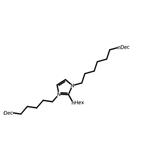 CCCCCCCCCCCCCCCCn1cc[n+](CCCCCCCCCCCCCCC)c1CCCCCC